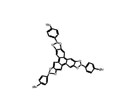 CC(C)(C)c1ccc(B2Oc3cc4c5cc6c(cc5c5cc7c(cc5c4cc3O2)OB(c2ccc(C(C)(C)C)cc2)O7)OB(c2ccc(C(C)(C)C)cc2)O6)cc1